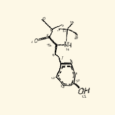 CC(C)C(=O)C(Cc1ccc(O)cc1)NC(C)(C)C